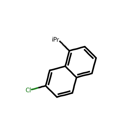 CC(C)c1cccc2ccc(Cl)cc12